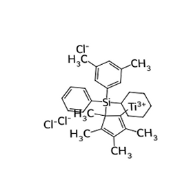 CC1=C(C)C(C)([Si](c2ccccc2)(c2cc(C)cc(C)c2)C2CCCCC2)[C]([Ti+3])=C1C.[Cl-].[Cl-].[Cl-]